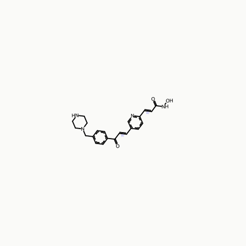 O=C(/C=C/c1ccc(/C=C/C(=O)c2ccc(CN3CCNCC3)cc2)cn1)NO